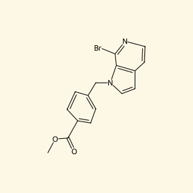 COC(=O)c1ccc(Cn2ccc3ccnc(Br)c32)cc1